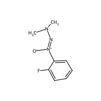 CN(C)/N=[N+](\[O-])c1ccccc1F